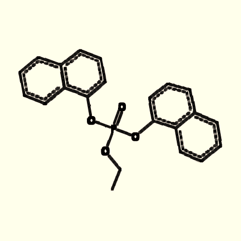 CCOP(=O)(Oc1cccc2ccccc12)Oc1cccc2ccccc12